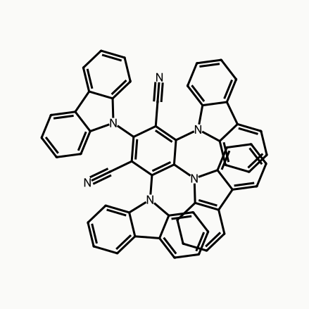 N#Cc1c(-n2c3ccccc3c3ccccc32)c(C#N)c(-n2c3ccccc3c3ccccc32)c(-n2c3c(c4ccccc42)C=CCC3)c1-n1c2ccccc2c2ccccc21